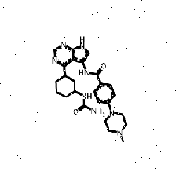 CN1CCN(c2ccc(C(=O)Nc3c[nH]c4ncnc(C5CCCC(NC(N)=O)C5)c34)cc2)CC1